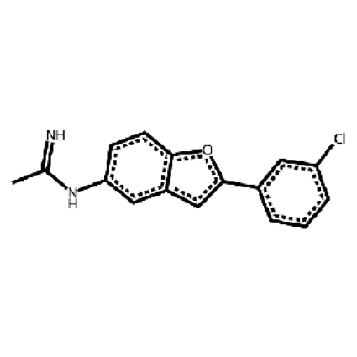 CC(=N)Nc1ccc2oc(-c3cccc(Cl)c3)cc2c1